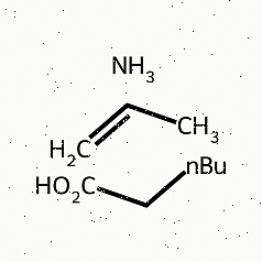 C=CC.CCCCCC(=O)O.N